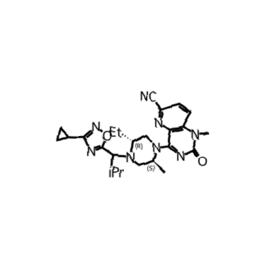 CC[C@@H]1CN(c2nc(=O)n(C)c3ccc(C#N)nc23)[C@@H](C)CN1C(c1nc(C2CC2)no1)C(C)C